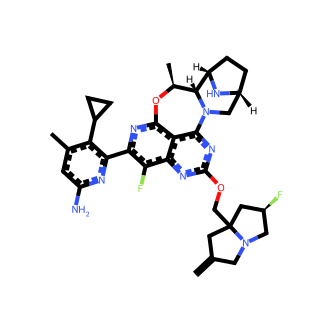 C=C1CN2C[C@H](F)CC2(COc2nc3c4c(nc(-c5nc(N)cc(C)c5C5CC5)c(F)c4n2)O[C@@H](C)[C@@H]2[C@@H]4CC[C@H](CN32)N4)C1